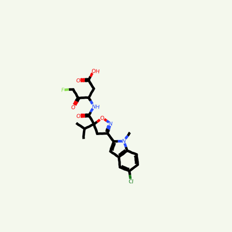 CC(C)C1(C(=O)NC(CC(=O)O)C(=O)CF)CC(c2cc3cc(Cl)ccc3n2C)=NO1